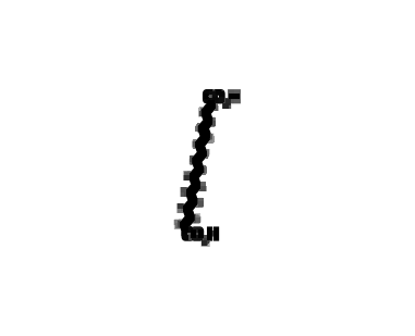 O=C(O)CCCC=CCCCCCCCCCCCC(=O)O